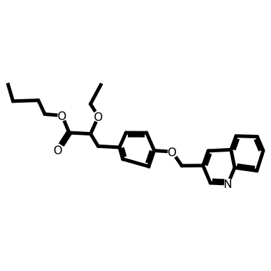 CCCCOC(=O)C(Cc1ccc(OCc2cnc3ccccc3c2)cc1)OCC